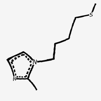 CSCCCCn1ccnc1C